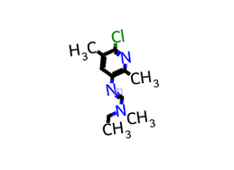 CCN(C)/C=N/c1cc(C)c(Cl)nc1C